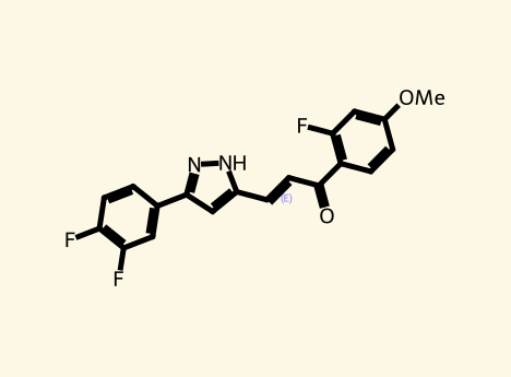 COc1ccc(C(=O)/C=C/c2cc(-c3ccc(F)c(F)c3)n[nH]2)c(F)c1